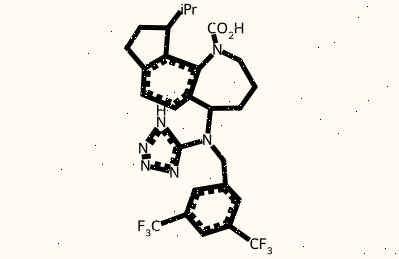 CC(C)C1CCc2ccc3c(c21)N(C(=O)O)CCCC3N(Cc1cc(C(F)(F)F)cc(C(F)(F)F)c1)c1nnn[nH]1